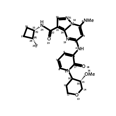 CNc1cc(Nc2cccn(C3CCOC[C@H]3OC)c2=O)nc2c(C(=O)N[C@H]3CC[C@H]3F)cnn12